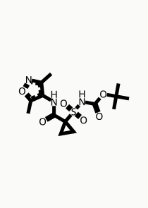 Cc1noc(C)c1NC(=O)C1(S(=O)(=O)NC(=O)OC(C)(C)C)CC1